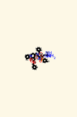 Cc1ccc(S(=O)(=O)N(C)[C@@H](CCCNC(=N)N)C(=O)N(CC2=CC(CC(=O)OCc3ccccc3)C(=O)N(c3ccccc3)CC2)C(=O)c2ccccc2)cc1